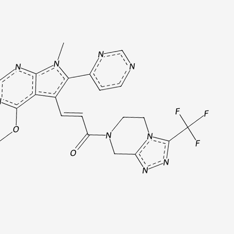 COc1ncnc2c1c(/C=C/C(=O)N1CCn3c(nnc3C(F)(F)F)C1)c(-c1ccncn1)n2C